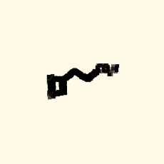 O=C(O)CCC1=CN=N1